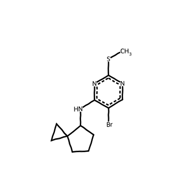 CSc1ncc(Br)c(NC2CCCC23CC3)n1